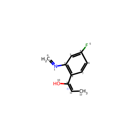 C=Nc1cc(F)ccc1/C(O)=C\C